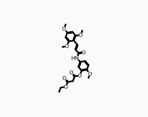 CCOC(=O)CC(=O)Oc1cc(NC(=O)/C=C/c2c(OC)cc(OC)cc2OC)ccc1OC